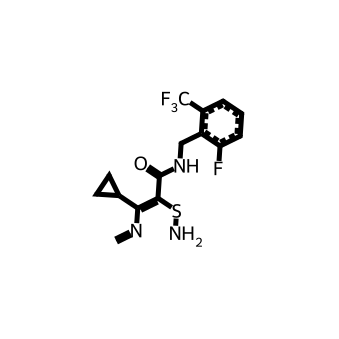 C=N/C(=C(\SN)C(=O)NCc1c(F)cccc1C(F)(F)F)C1CC1